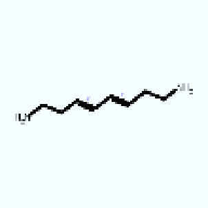 NCC/C=C/C=C/CCN